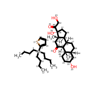 CCC[CH2][Sn]([CH2]CCC)([CH2]CCC)[c]1cccs1.C[C@]12CC[C@@H](O)C[C@H]1CC[C@@H]1[C@@H]2C(=O)C[C@@]2(C)[C@H]1CC[C@]2(O)C(=O)CO